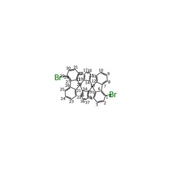 Brc1cccc2c1-c1ccccc1C21c2ccccc2C2(c3ccccc3-c3c(Br)cccc32)c2ccccc21